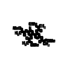 C=C(COC)C(=O)Oc1ccc(-c2cc(F)c(OC(=O)C(=C)COC)cc2OC(=O)C(=C)COC)c(OC(=O)C(=C)COC)c1